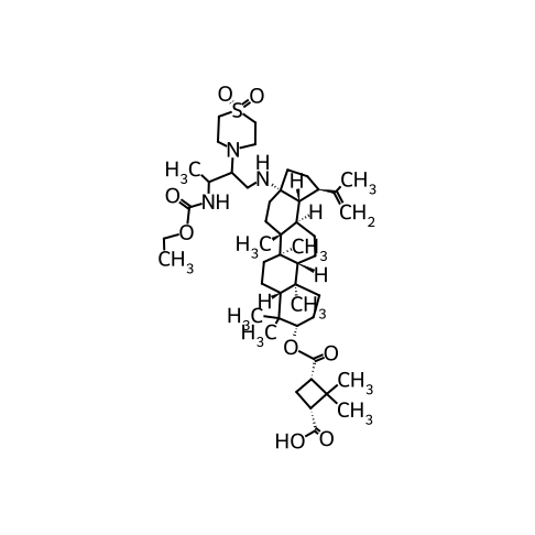 C=C(C)[C@@H]1CC[C@]2(NCC(C(C)NC(=O)OCC)N3CCS(=O)(=O)CC3)CC[C@]3(C)[C@H](CC[C@@H]4[C@@]5(C)CC[C@H](OC(=O)[C@H]6C[C@@H](C(=O)O)C6(C)C)C(C)(C)[C@@H]5CC[C@]43C)[C@@H]12